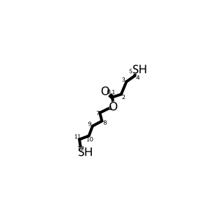 O=C(CCCS)OCCCCCS